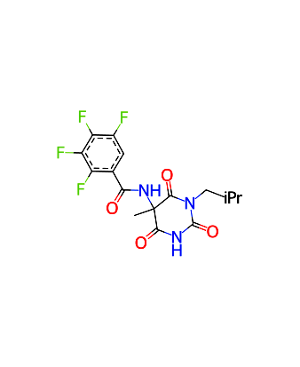 CC(C)CN1C(=O)NC(=O)C(C)(NC(=O)c2cc(F)c(F)c(F)c2F)C1=O